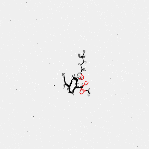 CCOC(=O)c1ccc(CC)cc1OCCCCC(C)C